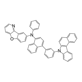 c1ccc(N(c2ccc3oc4cccnc4c3c2)c2ccc(-c3cccc(-n4c5ccccc5c5c6ccccc6ccc54)c3)c3ccccc23)cc1